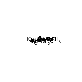 CC(C)Oc1ccc(-c2nnc(-c3cccc4c3CC[C@@H]4NC(=O)N3CC[C@H](O)C3)s2)cc1